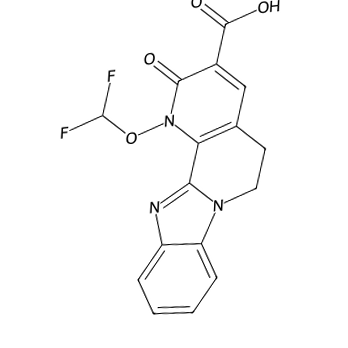 O=C(O)c1cc2c(n(OC(F)F)c1=O)-c1nc3ccccc3n1CC2